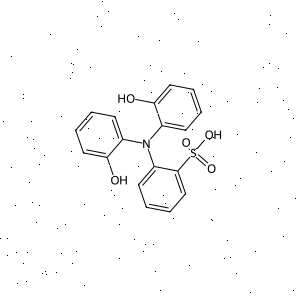 O=S(=O)(O)c1ccccc1N(c1ccccc1O)c1ccccc1O